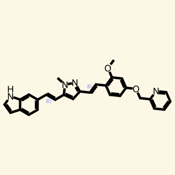 COc1cc(OCc2ccccn2)ccc1/C=C/c1cc(/C=C/c2ccc3cc[nH]c3c2)n(C)n1